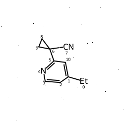 CCc1ccnc(C2(C#N)CC2)c1